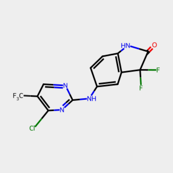 O=C1Nc2ccc(Nc3ncc(C(F)(F)F)c(Cl)n3)cc2C1(F)F